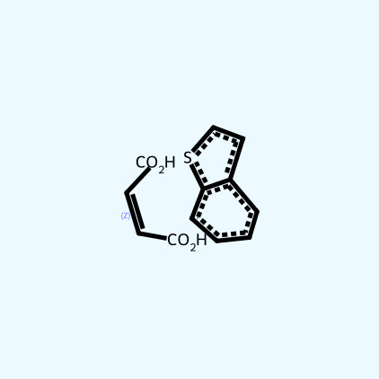 O=C(O)/C=C\C(=O)O.c1ccc2sccc2c1